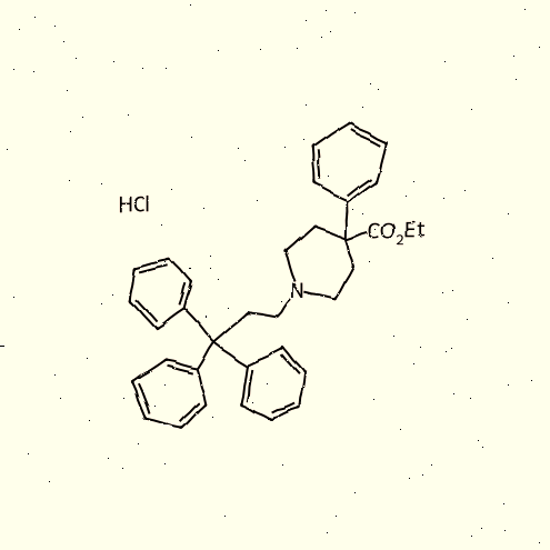 CCOC(=O)C1(c2ccccc2)CCN(CCC(c2ccccc2)(c2ccccc2)c2ccccc2)CC1.Cl